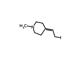 CN1CCC(=CCI)CC1